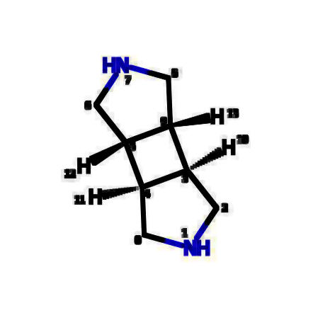 C1NC[C@H]2[C@@H]1[C@@H]1CNC[C@@H]12